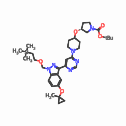 CC(C)(C)OC(=O)N1CC[C@@H](OC2CCN(c3cc(-c4nn(COCC[Si](C)(C)C)c5ccc(OC6(C)CC6)cc45)ncn3)CC2)C1